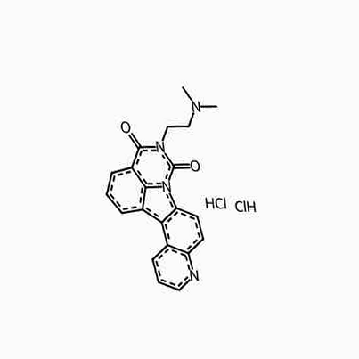 CN(C)CCn1c(=O)c2cccc3c4c5cccnc5ccc4n(c1=O)c23.Cl.Cl